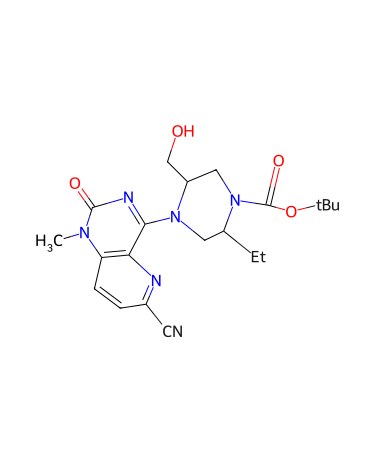 CCC1CN(c2nc(=O)n(C)c3ccc(C#N)nc23)C(CO)CN1C(=O)OC(C)(C)C